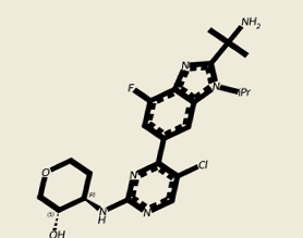 CC(C)n1c(C(C)(C)N)nc2c(F)cc(-c3nc(N[C@@H]4CCOC[C@H]4O)ncc3Cl)cc21